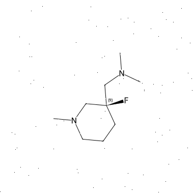 CN(C)C[C@]1(F)CCCN(C)C1